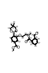 COC(=O)c1ccc(B2OCC(C)(C)CO2)c(OCCN(C)C(=O)c2ccccc2C=O)c1